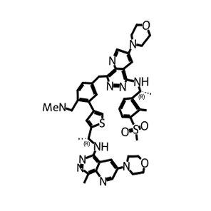 CNCc1ccc(Cc2nnc(N[C@H](C)c3cccc(S(C)(=O)=O)c3C)c3cc(N4CCOCC4)cnc23)cc1-c1csc([C@@H](C)Nc2nnc(C)c3ncc(N4CCOCC4)cc23)c1